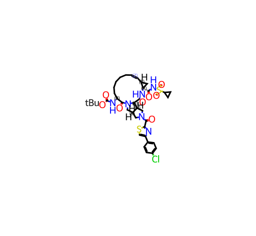 CC(C)(C)OC(=O)N[C@@H]1CCCCC/C=C\[C@H]2C[C@@]2(C(=O)NS(=O)(=O)C2CC2)NC(=O)[C@@H]2[C@H]3CN(C(=O)c4nc(-c5ccc(Cl)cc5)cs4)C[C@H]3CN2C1=O